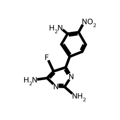 Nc1nc(N)c(F)c(-c2ccc([N+](=O)[O-])c(N)c2)n1